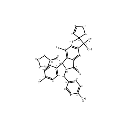 CCC(O)(c1cc(F)c2c(c1)C(=O)N(Cc1ccc(C#N)cn1)[C@@]2(O[C@H]1CCOC1)c1ccc(Cl)cc1)C1(F)C=COC1